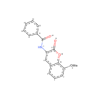 COc1cccc2cc(NC(=O)c3ccccc3)c(=O)oc12